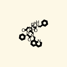 CCCN(C(=O)NCc1ccccc1)N1CC(=O)N2[C@@H](c3ccccc3)C(=O)N(Cc3cccc4cccnc34)C[C@@H]21